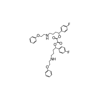 O=C(OC(CCCNCCOc1ccccc1)c1ccc(F)cc1)C(=O)OC(CCCNCCOc1ccccc1)c1ccc(F)cc1